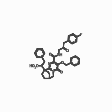 O=C(CNC(=O)c1nc2n(c(=O)c1OCc1ccccc1)CC1CCC2(N(Cc2ccccc2)C(=O)O)CC1)Cc1ccc(F)cc1